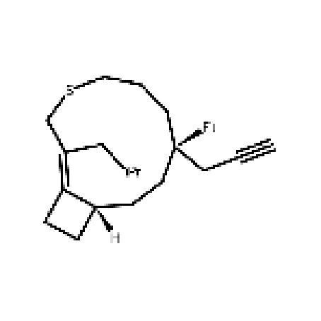 C#CC[C@@]1(CC)CCCSC/C(CC(C)C)=C2\CC[C@H]2CC1